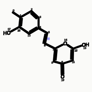 Cc1ccc(/C=C/c2cc(=O)cc(O)o2)cc1O